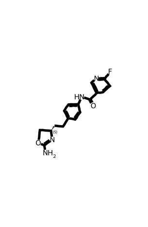 NC1=N[C@@H](CCc2ccc(NC(=O)c3ccc(F)nc3)cc2)CO1